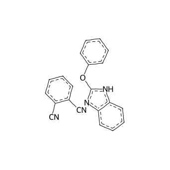 N#Cc1ccccc1C#N.c1ccc(Oc2nc3ccccc3[nH]2)cc1